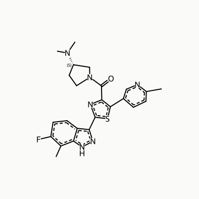 Cc1ccc(-c2sc(-c3n[nH]c4c(C)c(F)ccc34)nc2C(=O)N2CC[C@H](N(C)C)C2)cn1